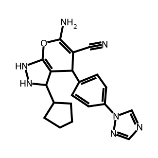 N#CC1=C(N)OC2=C(C1c1ccc(-n3cncn3)cc1)C(C1CCCC1)NN2